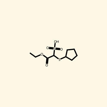 CCOC(=O)C(SC1CCCC1)S(=O)(=O)O